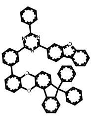 c1ccc(-c2nc(-c3cccc(-c4cccc5c4Oc4ccc6c(c4O5)-c4ccccc4C6(c4ccccc4)c4ccccc4)c3)nc(-c3ccc4c(c3)oc3ccccc34)n2)cc1